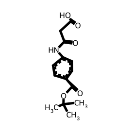 CC(C)(C)OC(=O)c1ccc(NC(=O)CC(=O)O)cc1